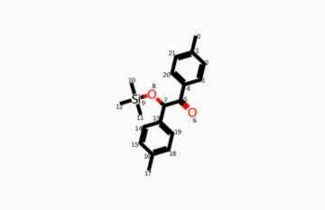 Cc1ccc(C(=O)C(O[Si](C)(C)C)c2ccc(C)cc2)cc1